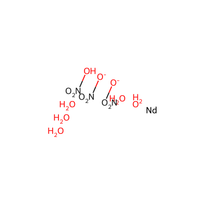 O.O.O.O.O.O=[N+]([O-])O.O=[N+]([O-])[O-].O=[N+]([O-])[O-].[Nd]